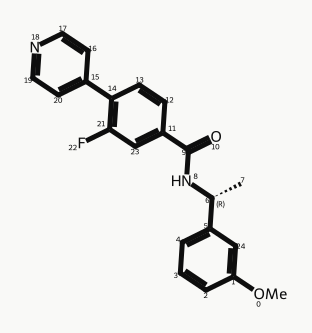 COc1cccc([C@@H](C)NC(=O)c2ccc(-c3ccncc3)c(F)c2)c1